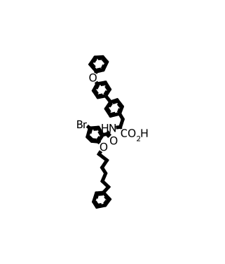 O=C(N[C@@H](Cc1ccc(-c2ccc(Oc3ccccc3)cc2)cc1)C(=O)O)c1cc(Br)ccc1OCCCCCCc1ccccc1